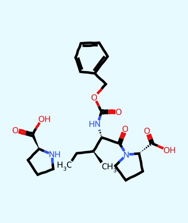 CC[C@H](C)[C@H](NC(=O)OCc1ccccc1)C(=O)N1CCC[C@H]1C(=O)O.O=C(O)[C@@H]1CCCN1